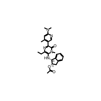 CCc1nc(-c2cnc(N(C)C)cc2C)c(=O)n(C)c1N[C@@H]1c2ccccc2C[C@@H]1OC(C)=O